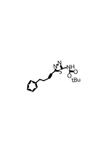 CC(C)(C)OC(=O)Nc1nnc(C#CCCc2ccccc2)s1